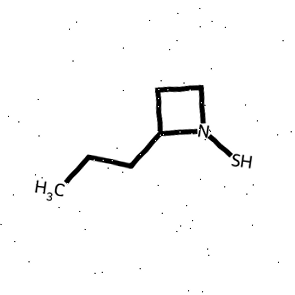 CCCC1CCN1S